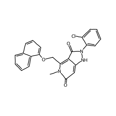 Cn1c(COc2cccc3ccccc23)c2c(=O)n(-c3ccccc3Cl)[nH]c2cc1=O